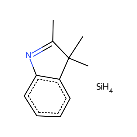 CC1=Nc2ccccc2C1(C)C.[SiH4]